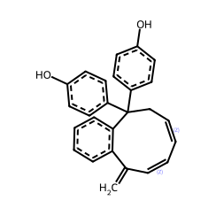 C=C1/C=C\C=C/CC(c2ccc(O)cc2)(c2ccc(O)cc2)c2ccccc21